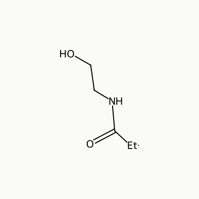 C[CH]C(=O)NCCO